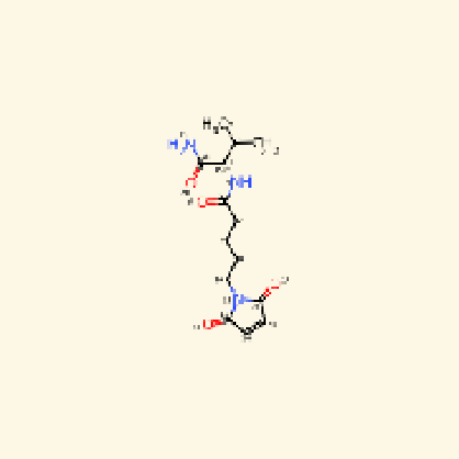 CC(C)[C@H](NC(=O)CCCCN1C(=O)C=CC1=O)C(N)=O